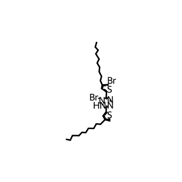 CCCCCCCCCCc1csc(C2=NN=C(c3cc(CCCCCCCCCC)c(Br)s3)N(Br)N2)c1